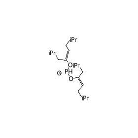 CC(C)CC=C(CC(C)C)O[PH](=O)OC(=CCC(C)C)CC(C)C